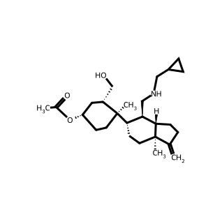 C=C1CC[C@H]2[C@H](CNCC3CC3)[C@@H]([C@@]3(C)CC[C@H](OC(C)=O)C[C@@H]3CO)CC[C@]12C